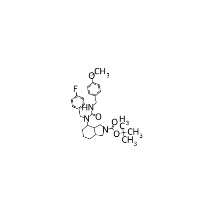 COc1ccc(CNC(=O)N(Cc2ccc(F)cc2)C2CCCC3CN(C(=O)OC(C)(C)C)CC32)cc1